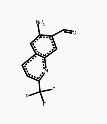 Nc1cc2ccc(C(F)(F)F)nc2cc1C=O